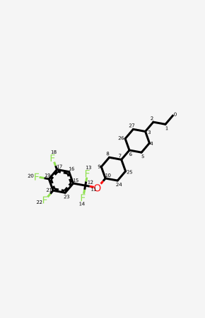 CCCC1CCC(C2CCC(OC(F)(F)c3cc(F)c(F)c(F)c3)CC2)CC1